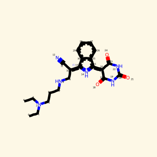 CCN(CC)CCCNC/C(C#N)=c1\[nH]c(=C2C(=O)NC(=O)NC2=O)c2ccccc12